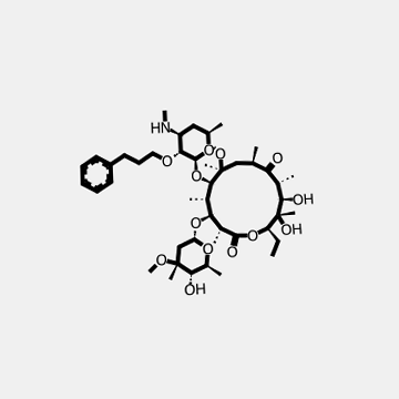 CC[C@H]1OC(=O)[C@H](C)[C@@H](O[C@H]2C[C@@](C)(OC)[C@@H](O)[C@H](C)O2)[C@H](C)[C@@H](O[C@@H]2O[C@H](C)C[C@H](NC)[C@H]2OCCCc2ccccc2)[C@@](C)(OC)C[C@@H](C)C(=O)[C@H](C)[C@@H](O)[C@]1(C)O